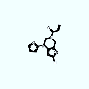 C=CC(=O)N1Cc2sc(Cl)cc2[C@@H](c2ccco2)C1